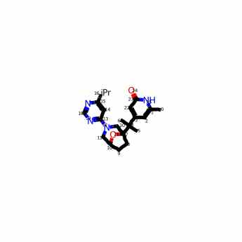 Cc1cc(C(C)(C)C23CCC(CN(c4cc(C(C)C)ncn4)C2)O3)cc(=O)[nH]1